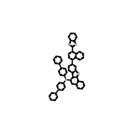 c1ccc(-c2ccc(N(c3ccc(-c4ccccc4)cc3)c3cc4ccccc4c4sc5cc(-c6ccc(-c7nc8ccccc8o7)c7ccccc67)ccc5c34)cc2)cc1